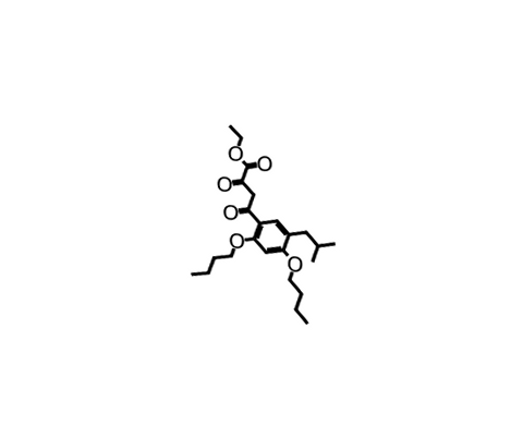 CCCCOc1cc(OCCCC)c(C(=O)CC(=O)C(=O)OCC)cc1CC(C)C